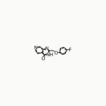 O=c1[nH]c(COc2ccc(F)cc2)nc2cnccc12